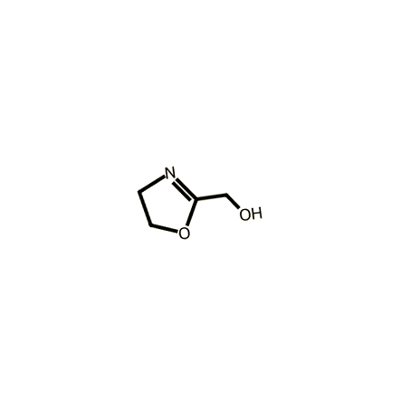 OCC1=NCCO1